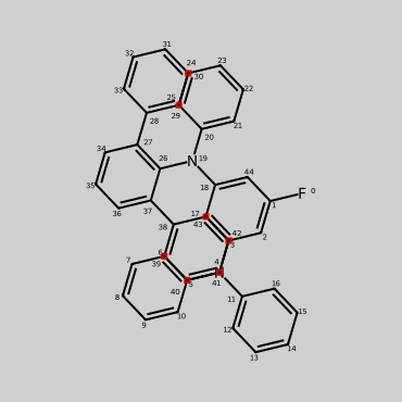 Fc1cc(N(c2ccccc2)c2ccccc2)cc(N(c2ccccc2)c2c(-c3ccccc3)cccc2-c2ccccc2)c1